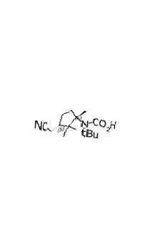 CC(C)(C)N(C(=O)O)[C@@]1(C)CC[C@@H](CC#N)C1(C)C